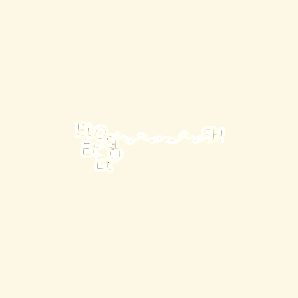 CCO[Si](CC)(CCCCCCCCS)OCC